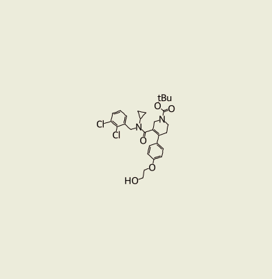 CC(C)(C)OC(=O)N1CCC(c2ccc(OCCO)cc2)=C(C(=O)N(Cc2cccc(Cl)c2Cl)C2CC2)C1